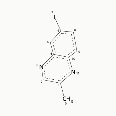 Cc1cnc2cc(I)ccc2n1